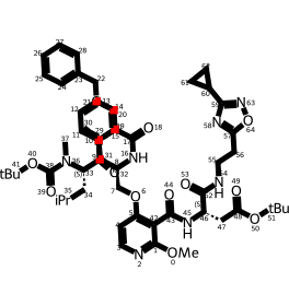 COc1nccc(OC[C@@H](Cc2ccccc2)NC(=O)[C@@H](COCc2ccccc2)N(C)C(=O)[C@H](CC(C)C)N(C)C(=O)OC(C)(C)C)c1C(=O)N[C@@H](CC(=O)OC(C)(C)C)C(=O)NCCc1nc(C2CC2)no1